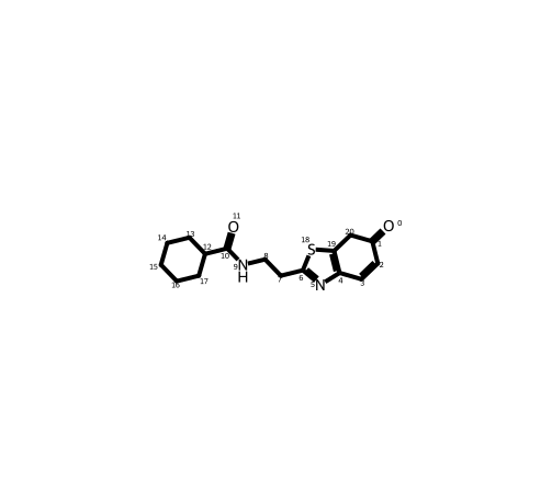 O=C1C=Cc2nc(CCNC(=O)C3CCCCC3)sc2C1